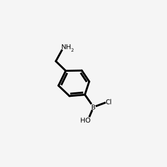 NCc1ccc(B(O)Cl)cc1